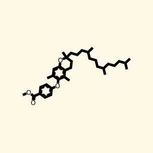 COC(=O)c1ccc(Oc2c(C)cc3c(c2C)CCC(C)(CCCC(C)CCCC(C)CCCC(C)C)O3)cc1